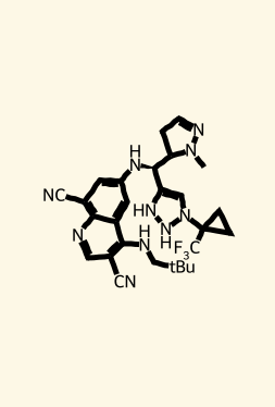 CN1N=CCC1[C@H](Nc1cc(C#N)c2ncc(C#N)c(NCC(C)(C)C)c2c1)C1=CN(C2(C(F)(F)F)CC2)NN1